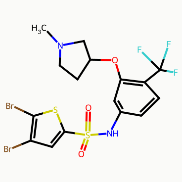 CN1CCC(Oc2cc(NS(=O)(=O)c3cc(Br)c(Br)s3)ccc2C(F)(F)F)C1